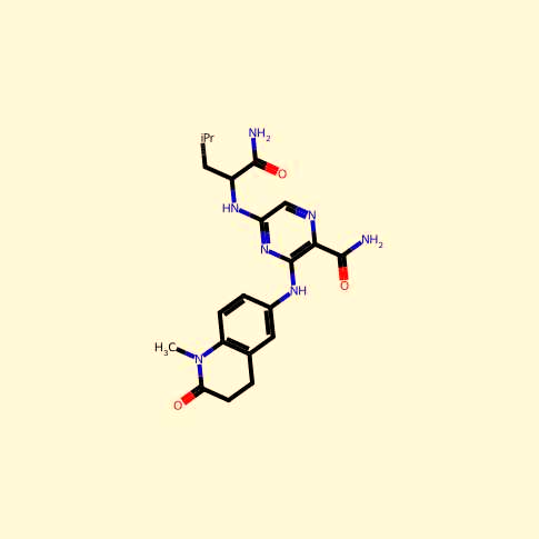 CC(C)CC(Nc1cnc(C(N)=O)c(Nc2ccc3c(c2)CCC(=O)N3C)n1)C(N)=O